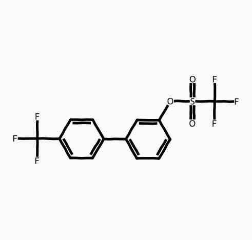 O=S(=O)(Oc1cccc(-c2ccc(C(F)(F)F)cc2)c1)C(F)(F)F